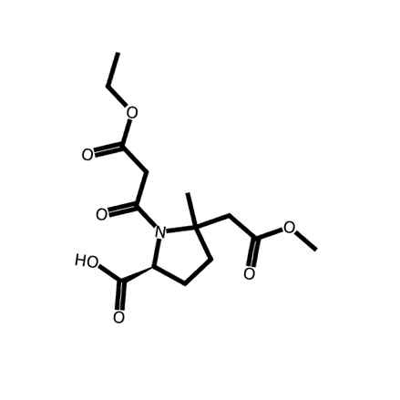 CCOC(=O)CC(=O)N1[C@H](C(=O)O)CCC1(C)CC(=O)OC